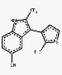 N#Cc1ccc2[nH]c(C(F)(F)F)c(-c3ccsc3C(F)(F)F)c2c1